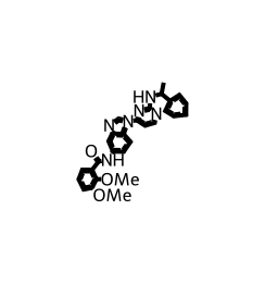 COc1cccc(C(=O)Nc2ccc3c(c2)ncn3-c2ccnc(NC(C)c3ccccc3)n2)c1OC